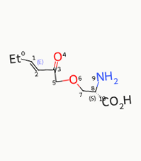 CC/C=C/C(=O)COC[C@H](N)C(=O)O